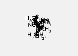 CC(C(=O)N(C)c1cc(C#N)c2nc(-c3nn(COCC[Si](C)(C)C)c4c3C[C@@H]3C[C@]3(C)C4)n(COCC[Si](C)(C)C)c2c1)N1CCOCC1